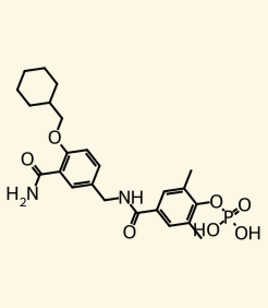 Cc1cc(C(=O)NCc2ccc(OCC3CCCCC3)c(C(N)=O)c2)cc(C)c1OP(=O)(O)O